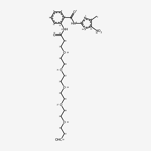 Cc1nc(NC(=O)c2ccccc2NC(=O)CCOCCOCCOCCOCCOCCC=O)sc1[N+](=O)[O-]